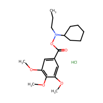 CCCN(OC(=O)c1cc(OC)c(OC)c(OC)c1)C1CCCCC1.Cl